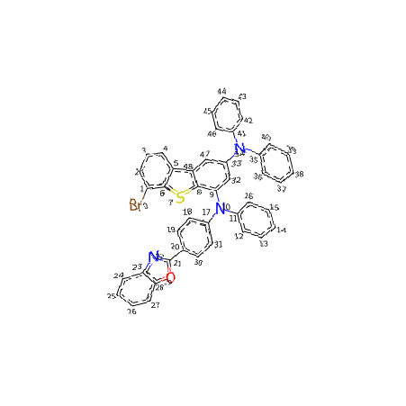 Brc1cccc2c1sc1c(N(c3ccccc3)c3ccc(-c4nc5ccccc5o4)cc3)cc(N(c3ccccc3)c3ccccc3)cc12